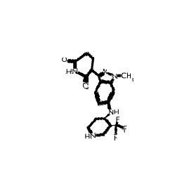 Cn1nc(C2CCC(=O)NC2=O)c2ccc(N[C@@H]3CCNC[C@@H]3C(F)(F)F)cc21